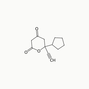 C#CC1(C2CCCC2)CC(=O)CC(=O)O1